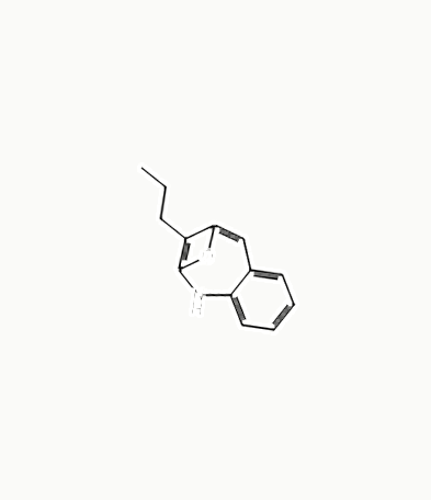 CCCC1=C2Nc3ccccc3C=C1O2